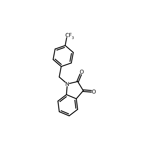 O=C1C(=O)N(Cc2ccc(C(F)(F)F)cc2)c2ccccc21